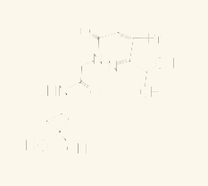 CC(C)c1nn(CC(=O)N[C@H]2C[C@@](C)(O)C2)c(=O)cc1Br